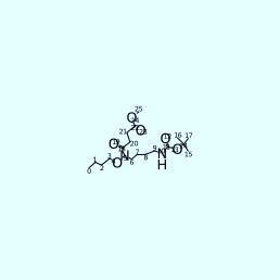 CCCCON(CCCCNC(=O)OC(C)(C)C)C(=O)CCC(=O)OC